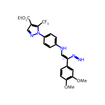 CCOC(=O)c1cnn(-c2ccc(N/C=C(\N=N)c3ccc(OC)c(OC)c3)cc2)c1C(F)(F)F